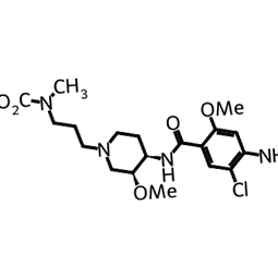 COc1cc(N)c(Cl)cc1C(=O)N[C@@H]1CCN(CCCN(C)C(=O)O)C[C@@H]1OC